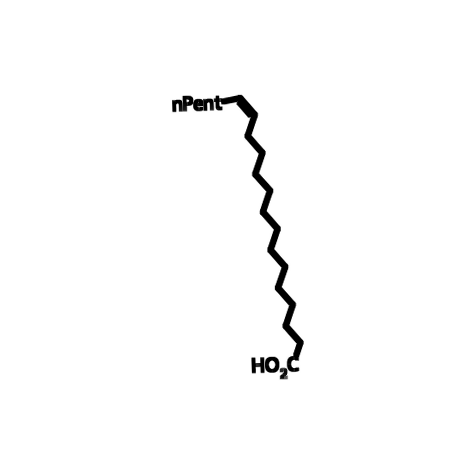 CCCCC/C=C\CCCCCCCCCCCCC(=O)O